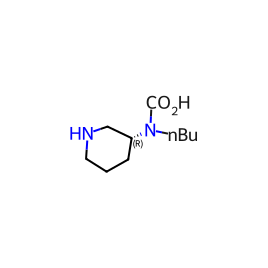 CCCCN(C(=O)O)[C@@H]1CCCNC1